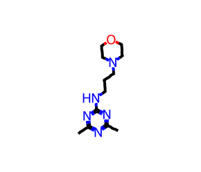 Cc1nc(C)nc(NCCCN2CCOCC2)n1